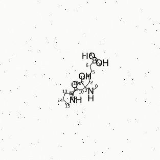 CNC(CCCCB(O)O)(CC[C@@H]1CCCN1)C(=O)O